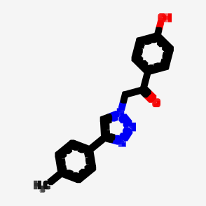 Cc1ccc(-c2cn(CC(=O)c3ccc(O)cc3)nn2)cc1